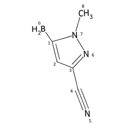 Bc1cc(C#N)nn1C